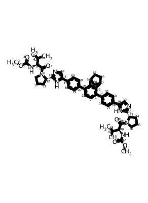 COC(=O)N[C@H](C(=O)N1CCC[C@H]1c1ncc(-c2ccc(-c3ccc(-c4ccc(-c5cnc([C@@H]6CCCN6C(=O)[C@@H](NC(=O)OC)C(C)C)[nH]5)cc4)c4c3C3CCC4C3)cc2)[nH]1)C(C)C